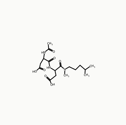 CC(=O)NC(CC(=O)O)C(=O)NC(CC(=O)O)C(=O)N(C)CCCC(C)C